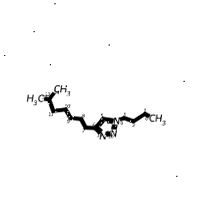 CCCCn1cc(CCCCCC(C)C)nn1